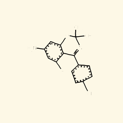 CC1(C)N=C(c2ccc(C(F)(F)F)cc2)c2c(F)cc(N)cc2O1